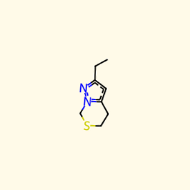 CCc1cc2n(n1)CSCC2